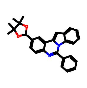 CC1(C)OB(c2ccc3nc(-c4ccccc4)n4c5ccccc5cc4c3c2)OC1(C)C